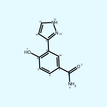 NC(=O)c1ccc(O)c(-c2cc[nH]n2)c1